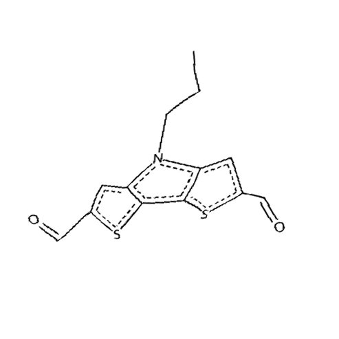 CCCn1c2cc(C=O)sc2c2sc(C=O)cc21